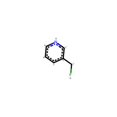 FCc1c[c]cnc1